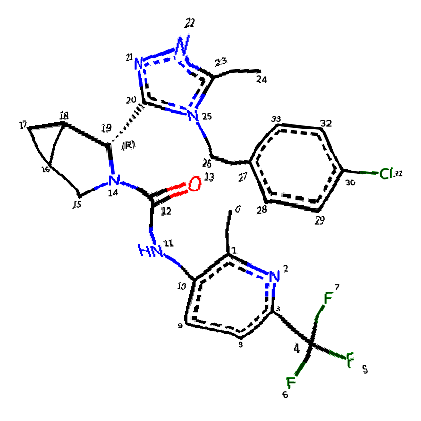 Cc1nc(C(F)(F)F)ccc1NC(=O)N1CC2CC2[C@@H]1c1nnc(C)n1Cc1ccc(Cl)cc1